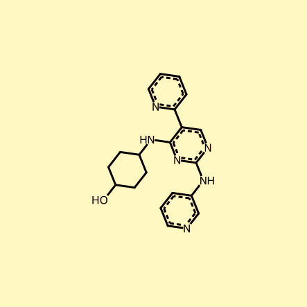 OC1CCC(Nc2nc(Nc3cccnc3)ncc2-c2ccccn2)CC1